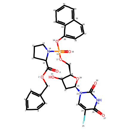 O=C(OCc1ccccc1)C1CCCN1P(=O)(OC[C@H]1O[C@@H](n2cc(F)c(=O)[nH]c2=O)CC1O)Oc1cccc2ccccc12